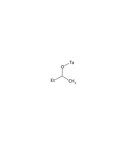 CCC(C)[O][Ta]